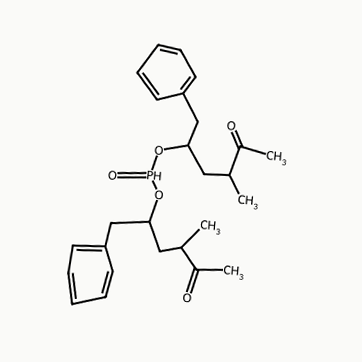 CC(=O)C(C)CC(Cc1ccccc1)O[PH](=O)OC(Cc1ccccc1)CC(C)C(C)=O